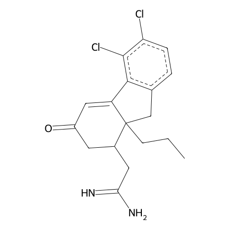 CCCC12Cc3ccc(Cl)c(Cl)c3C1=CC(=O)CC2CC(=N)N